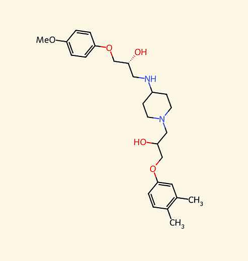 COc1ccc(OC[C@H](O)CNC2CCN(CC(O)COc3ccc(C)c(C)c3)CC2)cc1